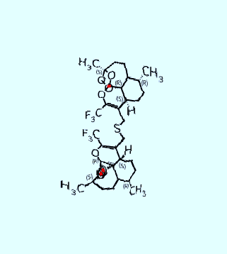 C[C@@H]1CC[C@H]2C(CSCC3=C(C(F)(F)F)O[C@@H]4O[C@]5(C)CCC6[C@H](C)CC[C@@H]3[C@]64OO5)=C(C(F)(F)F)OC3O[C@]4(C)CCC1[C@]32OO4